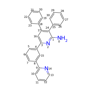 Nc1nc(-c2cccc(-c3ccccn3)c2)cc(-c2ccccc2)c1-c1ccccc1